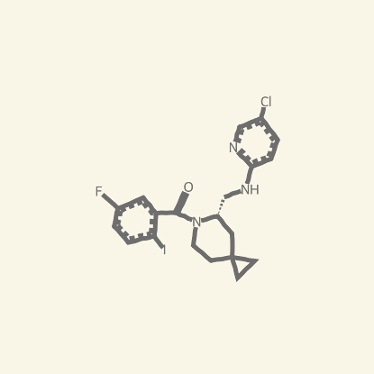 O=C(c1cc(F)ccc1I)N1CCC2(CC2)C[C@H]1CNc1ccc(Cl)cn1